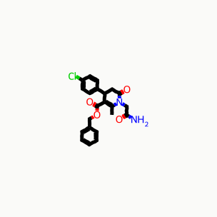 CC1=C(C(=O)OCc2ccccc2)C(c2ccc(Cl)cc2)CC(=O)N1CC(N)=O